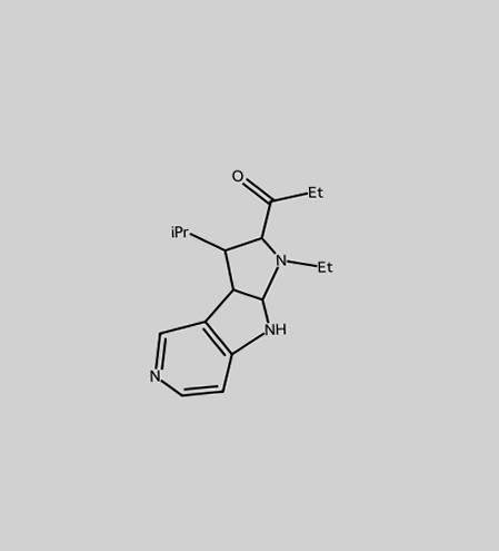 CCC(=O)C1C(C(C)C)C2c3cnccc3NC2N1CC